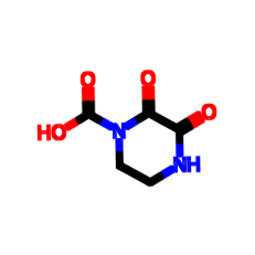 O=C1NCCN(C(=O)O)C1=O